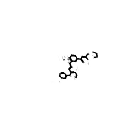 Cc1cc(F)cc(-c2nccc3[nH]c(-c4n[nH]c5ccc(-c6cncc(CN7CCCC7)c6)cc45)cc23)c1